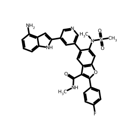 CNC(=O)c1c(-c2ccc(F)cc2)oc2cc(N(C)S(C)(=O)=O)c(-c3cncc(-c4cc5c(N)cccc5[nH]4)c3)cc12